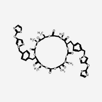 CC1OC(=O)CN(C)C(=O)C(Cc2ccc(Cn3cc(Oc4nccs4)cn3)cc2)OC(=O)CN(C)C(=O)C(C)OC(=O)CN(C)C(=O)C(Cc2ccc(Cn3cc(Oc4nccs4)cn3)cc2)OC(=O)CN(C)C1=O